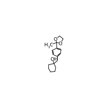 CC1(c2ccc(CC3(O)CCCCC3)cc2)OCCO1